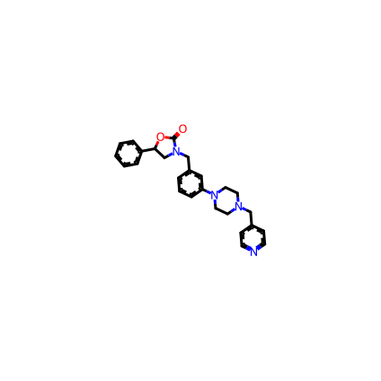 O=C1OC(c2ccccc2)CN1Cc1cccc(N2CCN(Cc3ccncc3)CC2)c1